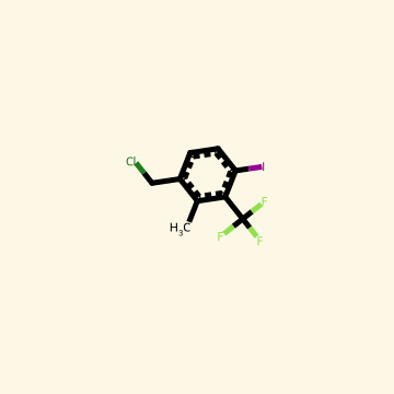 Cc1c(CCl)ccc(I)c1C(F)(F)F